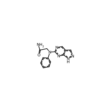 NC(=O)CN(c1ccccc1)c1ncc2cn[nH]c2n1